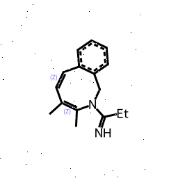 CCC(=N)N1Cc2ccccc2/C=C\C(C)=C/1C